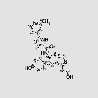 Cc1cc(C2NC(C(=O)Nc3cc4cnn(CCO)c4cc3N3CCC(O)CC3)=CO2)ccn1